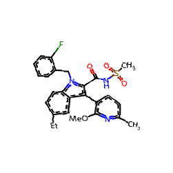 CCc1ccc2c(c1)c(-c1ccc(C)nc1OC)c(C(=O)NS(C)(=O)=O)n2Cc1ccccc1F